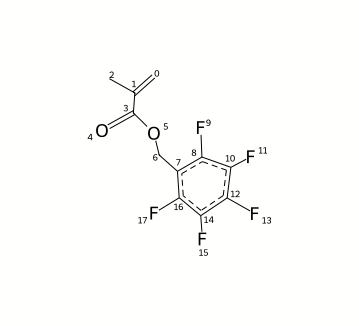 C=C(C)C(=O)OCc1c(F)c(F)c(F)c(F)c1F